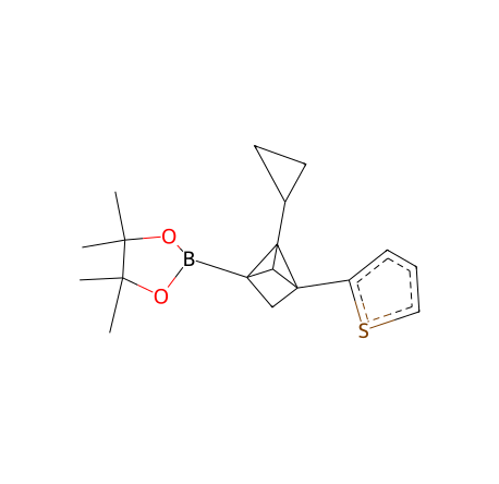 CC1(C)OB(C23CC(c4cccs4)(C2)C3C2CC2)OC1(C)C